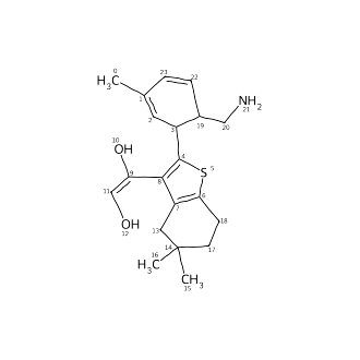 CC1=CC(c2sc3c(c2/C(O)=C\O)CC(C)(C)CC3)C(CN)C=C1